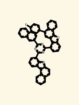 Fc1ccc(-c2cc3c(oc4cccc(-c5nc(-c6ccc7ccccc7c6)nc(-c6cccc7c6sc6ccc8ccccc8c67)n5)c43)c3ccccc23)cc1